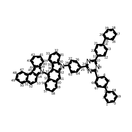 c1ccc(-c2ccc(-c3nc(-c4ccc(-c5ccccc5)cc4)nc(-c4ccc(-n5c6ccccc6c6c(-n7c8ccccc8c8c9ccccc9ccc87)c7ccccc7cc65)cc4)n3)cc2)cc1